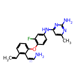 C=Cc1cccc(Oc2ccc(Nc3cc(C)nc(N)n3)cc2F)c1/C=C\N